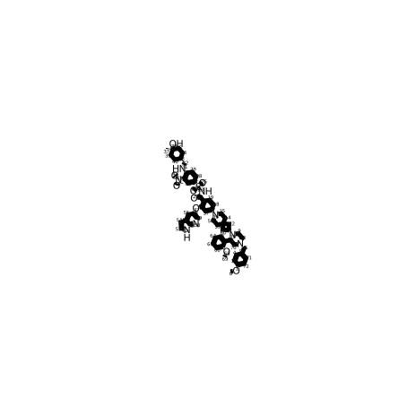 COc1ccc(CN2CCN(C3CC4(CCN(c5ccc(C(=O)NS(=O)(=O)c6ccc(NC[C@H]7CC[C@](C)(O)CC7)c([N+](=O)[O-])c6)c(Oc6cnc7[nH]ccc7c6)c5)CC4)C3)C(c3ccccc3OC)C2)cc1